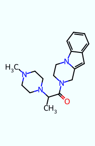 CC(C(=O)N1CCn2c(cc3ccccc32)C1)N1CCN(C)CC1